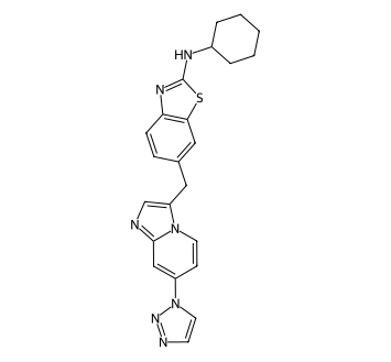 c1cn(-c2ccn3c(Cc4ccc5nc(NC6CCCCC6)sc5c4)cnc3c2)nn1